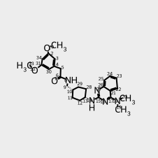 COc1cc(CC(=O)NC[C@H]2CC[C@@H](Nc3nc(N(C)C)c4ccccc4n3)CC2)cc(OC)c1